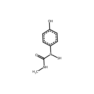 CNC(=O)N(S)c1ccc(O)cc1